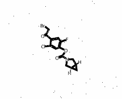 O=C(CBr)c1cc(F)c(OC(=O)N2C[C@@H]3C[C@H]3C2)cc1Cl